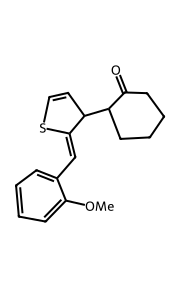 COc1ccccc1C=C1SC=CC1C1CCCCC1=O